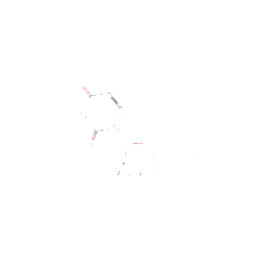 C[C@@]1(O)[C@@H](CO)O[C@@H](n2ccc(=O)[nH]c2=O)[C@@]1(C)F